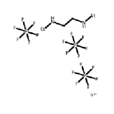 CCNCCNCC.F[P-](F)(F)(F)(F)F.F[P-](F)(F)(F)(F)F.F[P-](F)(F)(F)(F)F.[Ir+3]